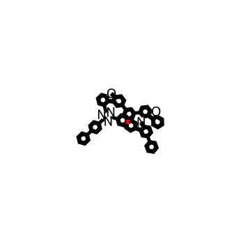 c1ccc(-c2ccc(-c3nc(-c4ccccc4)nc(-c4cccc5oc6ccc(-c7cccc(-c8ccc9oc%10ccccc%10c9c8-n8c9ccccc9c9cc(-c%10ccccc%10)ccc98)c7)cc6c45)n3)cc2)cc1